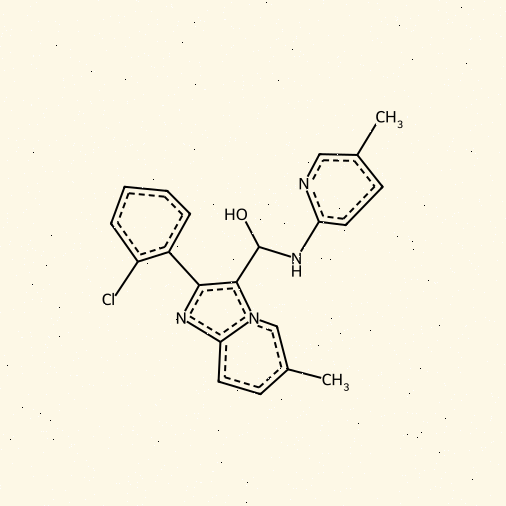 Cc1ccc(NC(O)c2c(-c3ccccc3Cl)nc3ccc(C)cn23)nc1